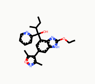 CCOc1nc2c(C(O)(c3ccccn3)C(C)CC)cc(-c3c(C)noc3C)cc2[nH]1